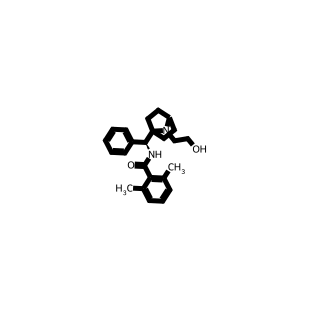 Cc1cccc(C)c1C(=O)N[C@H](c1ccccc1)C12CCC(CC1)N2CCO